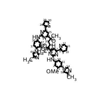 COc1cc(Nc2nc(-c3ccccn3)cc(C(C)(O)CCC(C)(O)c3cc(-c4cccs4)nc(Nc4ccc(-n5cnc(C)c5)c(OC)c4)n3)n2)ccc1-n1cnc(C)c1